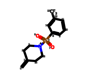 C=C1CCN(S(=O)(=O)c2cccc(C(F)(F)F)c2)CC1